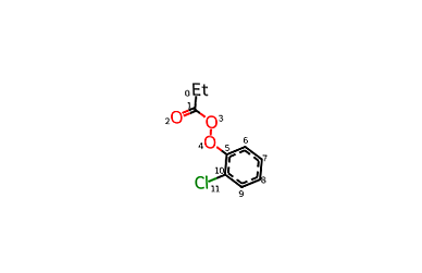 CCC(=O)OOc1ccccc1Cl